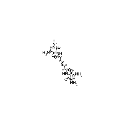 NNC(=O)C(NC(=O)CCSSCCC(=O)NC(C(=O)NN)C(=O)NN)C(=O)NN